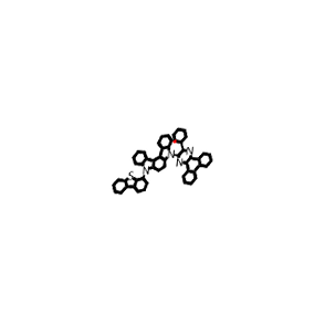 c1ccc(-c2nc3c4ccccc4c4ccccc4c3nc2-n2c3ccccc3c3c4c5ccccc5n(-c5cccc6c5sc5ccccc56)c4ccc32)cc1